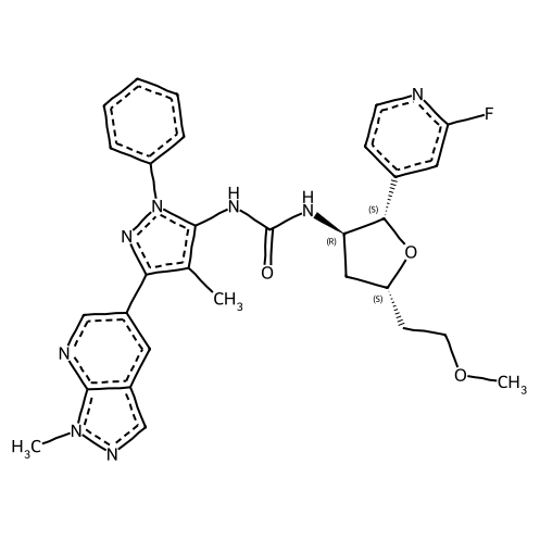 COCC[C@@H]1C[C@@H](NC(=O)Nc2c(C)c(-c3cnc4c(cnn4C)c3)nn2-c2ccccc2)[C@H](c2ccnc(F)c2)O1